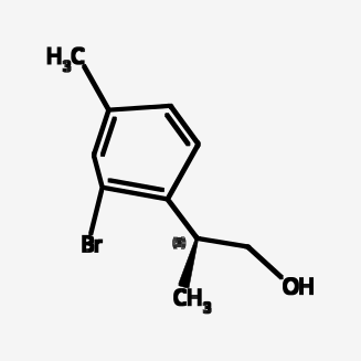 Cc1ccc([C@H](C)CO)c(Br)c1